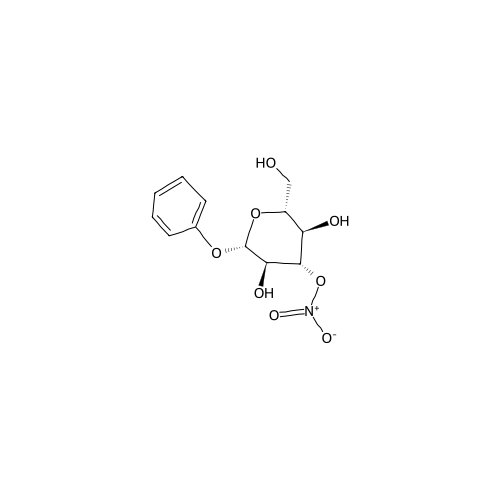 O=[N+]([O-])O[C@@H]1[C@@H](O)[C@H](Oc2ccccc2)O[C@H](CO)[C@H]1O